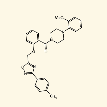 COc1ccccc1N1CCN(C(=O)c2ccccc2OCc2nc(-c3ccc(C)cc3)no2)CC1